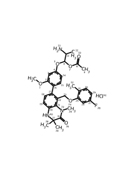 COc1cc(OC(OC(C)=O)C(C)N)ccc1-c1ccc2c(c1COc1cc(F)ccc1C)N(C)C(=O)C(C)(C)N2.Cl